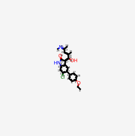 CCOc1ccc(-c2cc3c(cc2Cl)NC(=O)C3=C(O)C(C)=C/C(C)=N\C)cc1